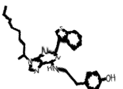 CCCCCCCC(C)n1cnc2c(NCCc3ccc(O)cc3)nc(-c3csc4ccccc34)nc21